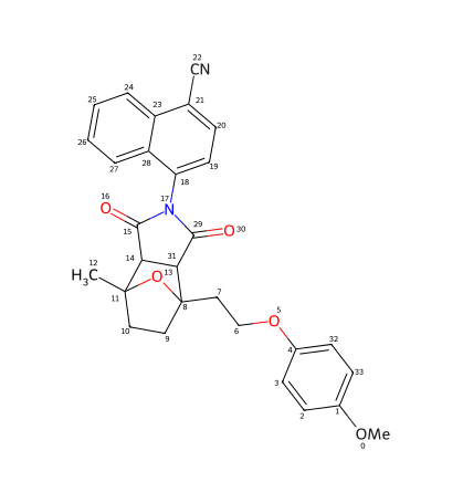 COc1ccc(OCCC23CCC(C)(O2)C2C(=O)N(c4ccc(C#N)c5ccccc45)C(=O)C23)cc1